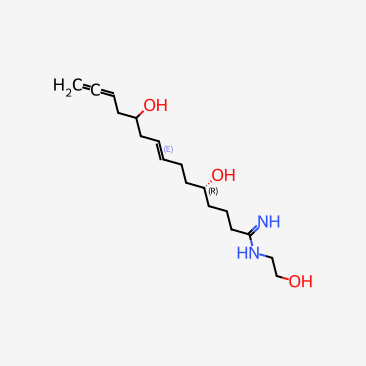 C=C=CCC(O)C/C=C/CC[C@H](O)CCCC(=N)NCCO